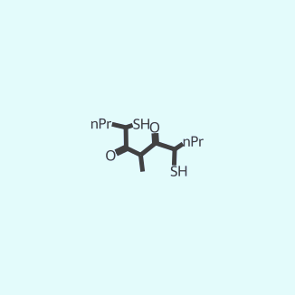 CCCC(S)C(=O)C(C)C(=O)C(S)CCC